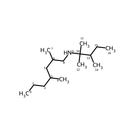 CCCC(C)CC(C)CNC(C)(C)C(C)CC